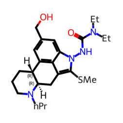 CCCN1CCC[C@@H]2c3cc(CO)cc4c3c(c(SC)n4NC(=O)N(CC)CC)C[C@H]21